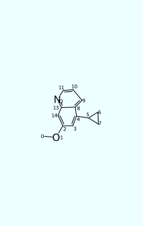 COc1cc(C2CC2)c2cccnc2c1